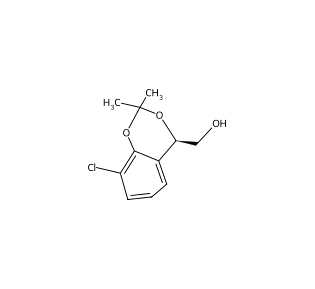 CC1(C)Oc2c(Cl)cccc2[C@H](CO)O1